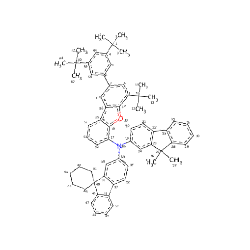 CC(C)(C)c1cc(-c2cc(C(C)(C)C)c3oc4c(N(c5ccc6c(c5)C(C)(C)c5ccccc5-6)c5ccc6c(c5)C5(CCCCC5)c5ccccc5-6)cccc4c3c2)cc(C(C)(C)C)c1